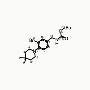 CC1(C)CCN(c2ccc(CNC(=O)OC(C)(C)C)cc2Br)CC1